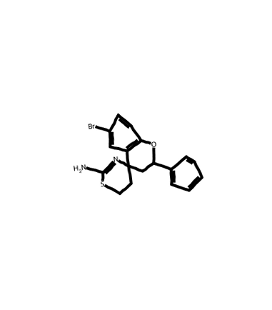 NC1=NC2(CCS1)CC(c1ccccc1)Oc1ccc(Br)cc12